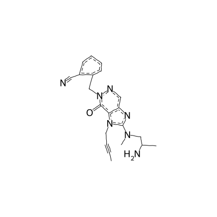 CC#CCn1c(N(C)CC(C)N)nc2cnn(Cc3ccccc3C#N)c(=O)c21